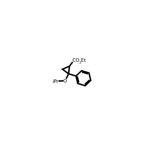 CCOC(=O)C1CC1(OC(C)C)c1ccccc1